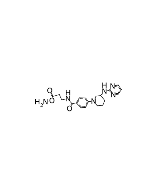 NOC(=O)CCNC(=O)c1ccc(N2CCC[C@H](Nc3ncccn3)C2)cc1